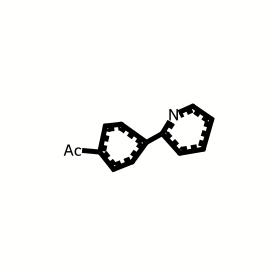 CC(=O)c1ccc(-c2ccccn2)cc1